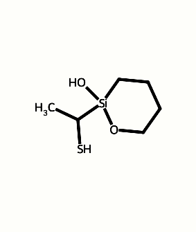 CC(S)[Si]1(O)CCCCO1